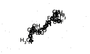 Cc1ncsc1-c1ccc(CNC(=O)[C@@H]2C[C@@H](O)CN2C(=O)C(NC(=O)COCC(=O)N2CCN(c3ncc(-c4cc(NC(=O)c5ccc(F)cc5C(F)(F)F)c(N5C[C@@H](C)N(C)[C@@H](C)C5)cc4F)cn3)CC2)C(C)(C)C)cc1